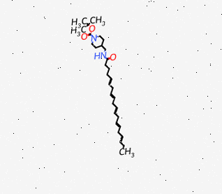 CCC=CCC=CCC=CCC=CCC=CCCCC(=O)NCC1CCN(C(=O)OC(C)(C)C)CC1